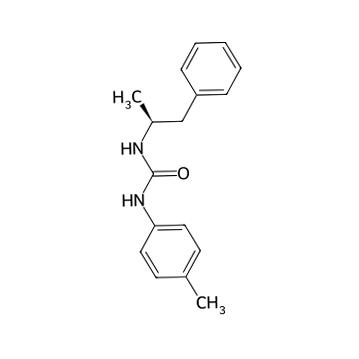 Cc1ccc(NC(=O)N[C@@H](C)Cc2ccccc2)cc1